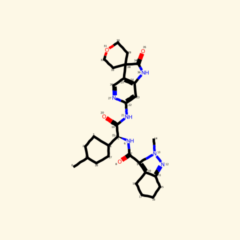 CC1CCC([C@H](NC(=O)c2c3c(nn2C)CCCC3)C(=O)Nc2cc3c(cn2)C2(CCOCC2)C(=O)N3)CC1